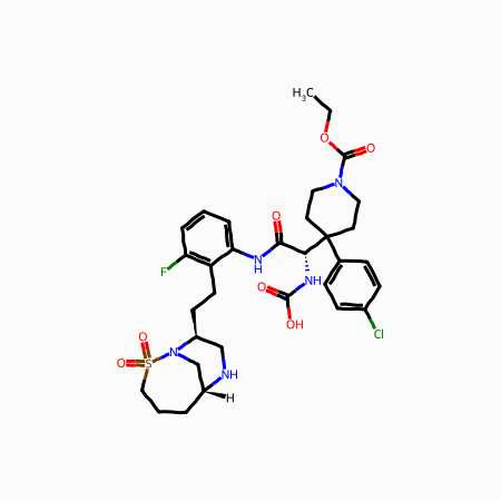 CCOC(=O)N1CCC(c2ccc(Cl)cc2)([C@H](NC(=O)O)C(=O)Nc2cccc(F)c2CC[C@H]2CN[C@@H]3CCCS(=O)(=O)N2C3)CC1